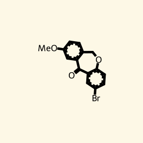 COc1ccc2c(c1)C(=O)c1cc(Br)ccc1OC2